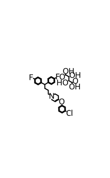 Fc1ccc(C(CCCN2CC=C(Oc3cccc(Cl)c3)CC2)c2ccc(F)cc2)cc1.O=C(O)C(O)C(O)C(=O)O